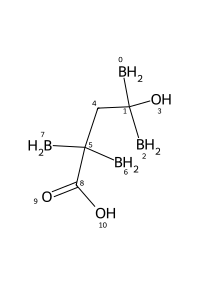 BC(B)(O)CC(B)(B)C(=O)O